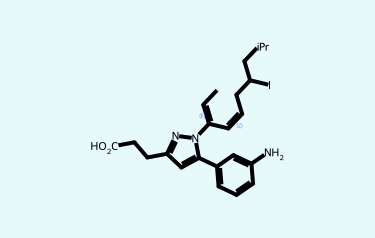 C/C=C(\C=C/CC(I)CC(C)C)n1nc(CCC(=O)O)cc1-c1cccc(N)c1